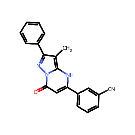 Cc1c(-c2ccccc2)nn2c(=O)cc(-c3cccc(C#N)c3)[nH]c12